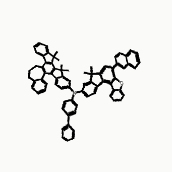 CC1(C)c2cc(N(c3ccc(-c4ccccc4)cc3)c3ccc4c(c3)C(C)(C)c3c-4c4c(c5c3C(C)(C)c3ccccc3-5)CCCc3ccccc3-4)ccc2-c2c1cc(-c1ccc3ccccc3c1)c1oc3ccccc3c21